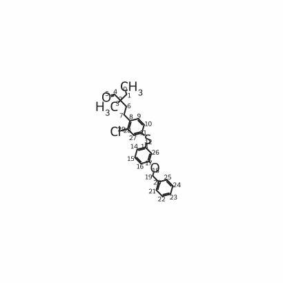 CCC(C)(C=O)CCc1ccc(Sc2cccc(OCc3ccccc3)c2)cc1Cl